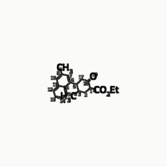 CCOC(=O)C1CC(C)C(c2cc(C)cc3ccccc23)CC1=O